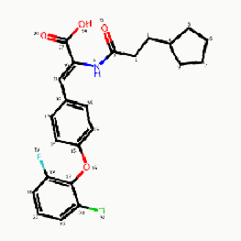 O=C(CCC1CCCC1)NC(=Cc1ccc(Oc2c(F)cccc2Cl)cc1)C(=O)O